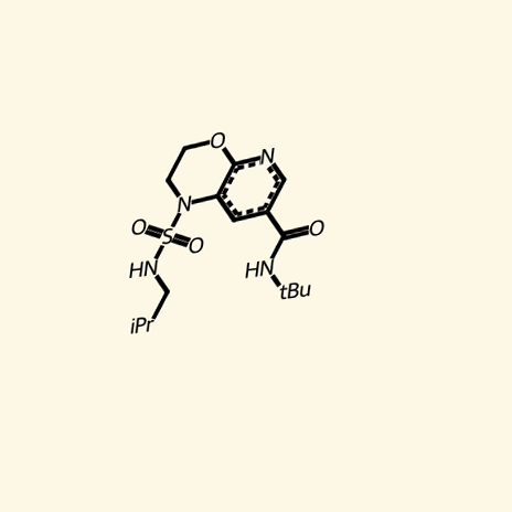 CC(C)CNS(=O)(=O)N1CCOc2ncc(C(=O)NC(C)(C)C)cc21